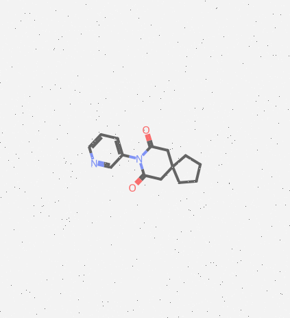 O=C1CC2(CCCC2)CC(=O)N1c1cccnc1